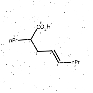 CCCC=CCC(CCC)C(=O)O